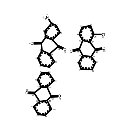 Nc1ccc2c(c1)C(=O)c1ccccc1C2=O.O=C1c2ccccc2C(=O)c2c(Cl)cccc21.O=C1c2ccccc2C(=O)c2ccccc21